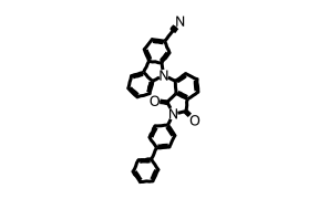 N#Cc1ccc2c3ccccc3n(-c3cccc4c3C(=O)N(c3ccc(-c5ccccc5)cc3)C4=O)c2c1